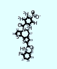 [2H]c1c([2H])c([N+](=O)[O-])c([2H])c([2H])c1C(=O)N1CCc2cc(C(=O)Nc3c(F)cccc3F)sc2-c2sccc21